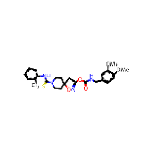 COc1ccc(CNC(=O)OC2=NOC3(CCN(C(=S)Nc4ccccc4C(F)(F)F)CC3)C2)cc1OC